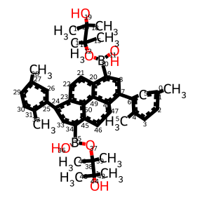 Cc1ccc(C)c(-c2cc(B(O)OC(C)(C)C(C)(C)O)c3ccc4c(-c5cc(C)ccc5C)cc(B(O)OC(C)(C)C(C)(C)O)c5ccc2c3c54)c1